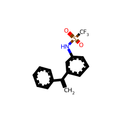 C=C(c1ccccc1)c1cccc(NS(=O)(=O)C(F)(F)F)c1